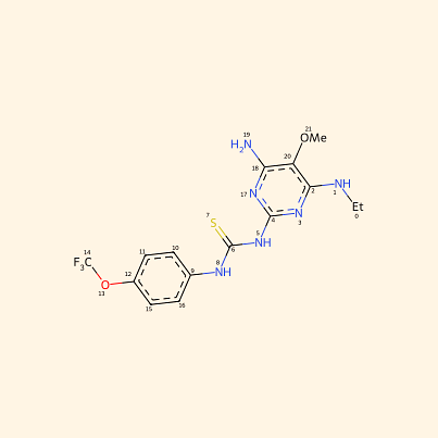 CCNc1nc(NC(=S)Nc2ccc(OC(F)(F)F)cc2)nc(N)c1OC